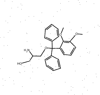 COc1cccc(C(OCC(N)CO)(c2ccccc2)c2ccccc2)c1OC